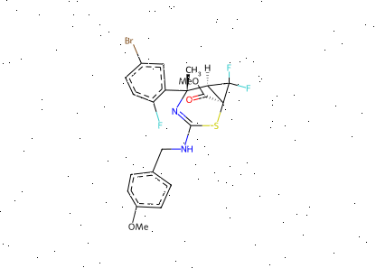 COC(=O)[C@]12SC(NCc3ccc(OC)cc3)=N[C@](C)(c3cc(Br)ccc3F)[C@H]1C2(F)F